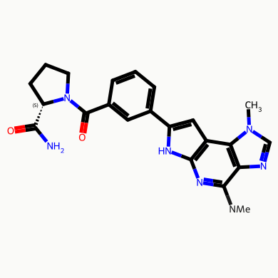 CNc1nc2[nH]c(-c3cccc(C(=O)N4CCC[C@H]4C(N)=O)c3)cc2c2c1ncn2C